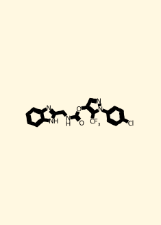 O=C(NCc1nc2ccccc2[nH]1)Oc1cnn(-c2ccc(Cl)cc2)c1C(F)(F)F